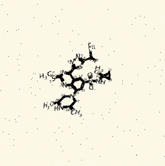 CSc1nc(-c2nnc(C(F)F)s2)c2cc(S(=O)(=O)NC3(C)CC3)cc(N3CC(C)NC(C)C3)c2n1